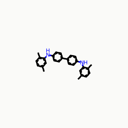 Cc1ccc(C)c(Nc2ccc(-c3ccc(Nc4cc(C)ccc4C)cc3)cc2)c1